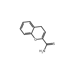 NC(=S)C1=CCc2ccccc2O1